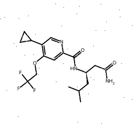 CC(C)C[C@H](CC(N)=O)NC(=O)c1cc(OCC(F)(F)F)c(C2CC2)cn1